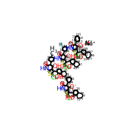 Cc1ccc(-c2c(O)c3c(-c4ccc5c(c4O)CCCC5)c(Cl)sc3[nH]c2=O)cc1.O=c1[nH]c2sc(Cl)c(-c3ccc4c(c3O)CCCC4)c2c(O)c1-c1cccc(F)c1.O=c1[nH]c2sc(Cl)c(-c3ccc4c(c3O)CCCC4)c2c([O-])c1-c1ccccc1.O=c1[nH]c2sc(Cl)c(-c3ccc4c(c3O)CCCC4)c2c([O-])c1-c1ccccc1.[K+].[Na+]